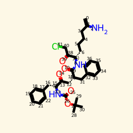 C=C(N)CCCC[C@H](NC(=O)[C@@H](CC(=O)[C@@H](Cc1ccccc1)NC(=O)OC(C)(C)C)Cc1ccccc1)C(=O)CCl